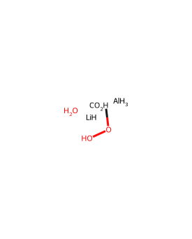 O.O=C(O)OO.[AlH3].[LiH]